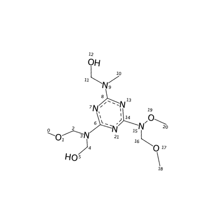 COCN(CO)c1nc(N(C)CO)nc(N(COC)OC)n1